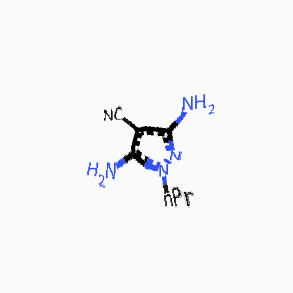 CCCn1nc(N)c(C#N)c1N